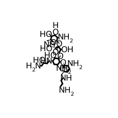 NCCCNC[C@@H]1C=C[C@@H](N)[C@@H](O[C@H]2[C@H](O[C@@H]3O[C@H](CO)[C@@H](O[C@H]4O[C@@H](CN)[C@@H](O)[C@H](O)[C@H]4N)[C@H]3O)[C@@H](O)[C@H](NCC(O)CN)C[C@@H]2N)O1